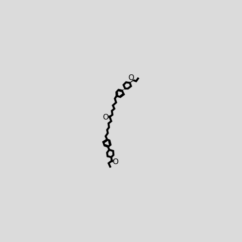 CCC(=O)C1CCC(c2ccc(CCCCCCC(=O)CCCCCCc3ccc([C@H]4CC[C@H](C(=O)CC)CC4)cc3)cc2)CC1